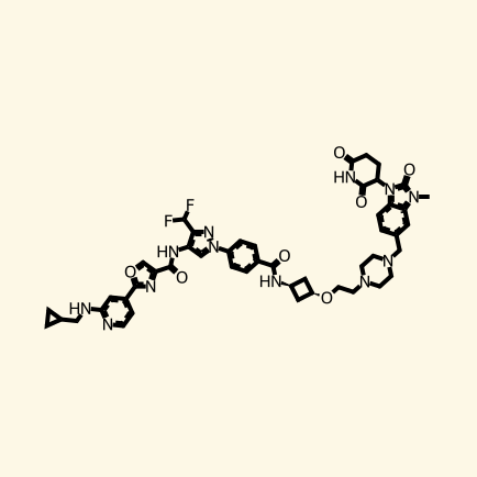 Cn1c(=O)n(C2CCC(=O)NC2=O)c2ccc(CN3CCN(CCO[C@H]4C[C@H](NC(=O)c5ccc(-n6cc(NC(=O)c7coc(-c8ccnc(NCC9CC9)c8)n7)c(C(F)F)n6)cc5)C4)CC3)cc21